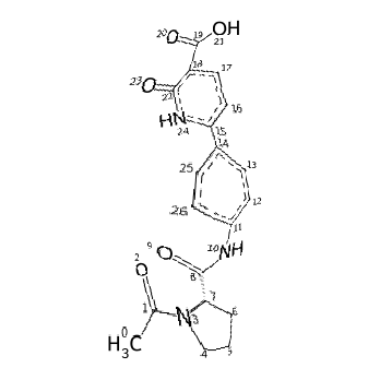 CC(=O)N1CCC[C@H]1C(=O)Nc1ccc(-c2ccc(C(=O)O)c(=O)[nH]2)cc1